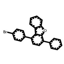 Brc1ccc(-c2ccc(-c3ccccc3)c3oc4ccccc4c23)cc1